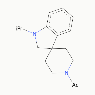 CC(=O)N1CCC2(CC1)CN(C(C)C)c1ccccc12